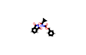 O=C(NC(ON1C(=O)c2ccccc2C1=O)C1CC1)OCc1ccccc1